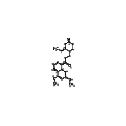 CC[C@H]1CNCCC1CCC(=O)c1ccnc2c(OC)cc(OC)cc12